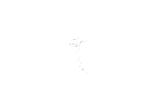 CC(C)(C)C(F)(F)CCCCOCC12CC3CC(CC(O)(C3)C1)C2